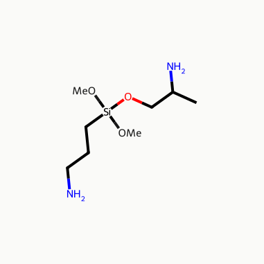 CO[Si](CCCN)(OC)OCC(C)N